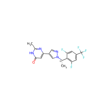 Cc1nc(-c2cnn([C@@H](C)c3c(F)cc(C(F)(F)F)cc3F)c2)cc(=O)[nH]1